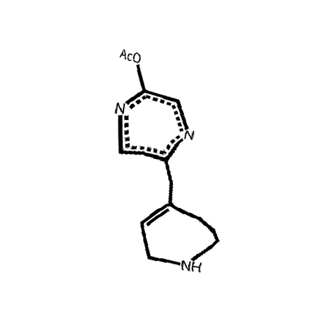 CC(=O)Oc1cnc(C2=CCNCC2)cn1